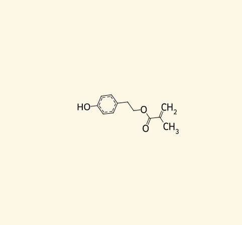 C=C(C)C(=O)OCCc1ccc(O)cc1